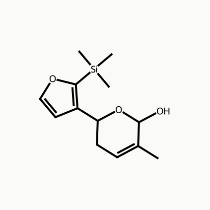 CC1=CCC(c2ccoc2[Si](C)(C)C)OC1O